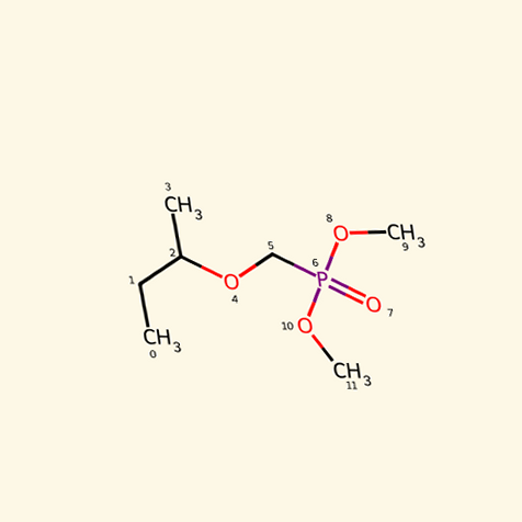 CCC(C)OCP(=O)(OC)OC